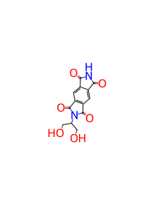 O=c1[nH]c(=O)c2cc3c(=O)n(C(CO)CO)c(=O)c3cc12